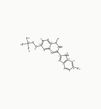 CC(NC(=O)c1cc2ccc(F)cc2[nH]1)c1cnc(OCC(F)(F)F)cn1